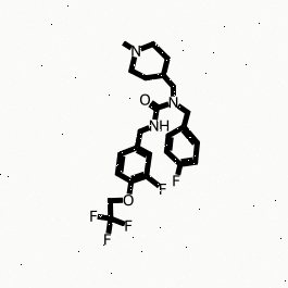 CN1CCC(CN(Cc2ccc(F)cc2)C(=O)NCc2ccc(OCC(F)(F)F)c(F)c2)CC1